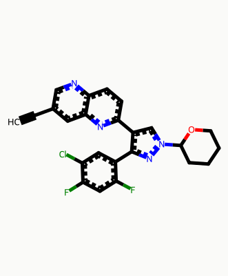 C#Cc1cnc2ccc(-c3cn(C4CCCCO4)nc3-c3cc(Cl)c(F)cc3F)nc2c1